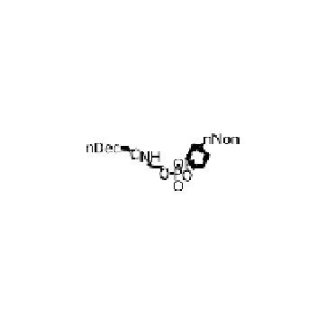 CCCCCCCCCCCCNCCOP(=O)(O)Oc1ccc(CCCCCCCCC)cc1